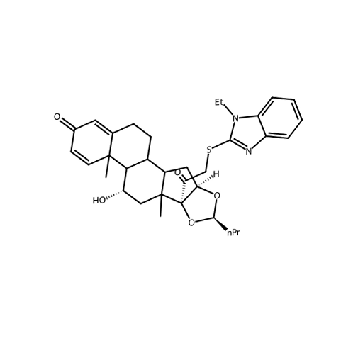 CCC[C@@H]1O[C@@H]2CC3C4CCC5=CC(=O)C=CC5(C)C4[C@@H](O)CC3(C)[C@]2(C(=O)CSc2nc3ccccc3n2CC)O1